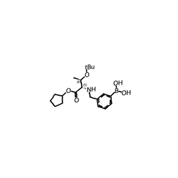 C[C@@H](OC(C)(C)C)[C@H](NCc1cccc(B(O)O)c1)C(=O)OC1CCCC1